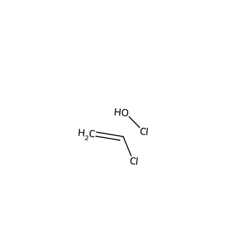 C=CCl.OCl